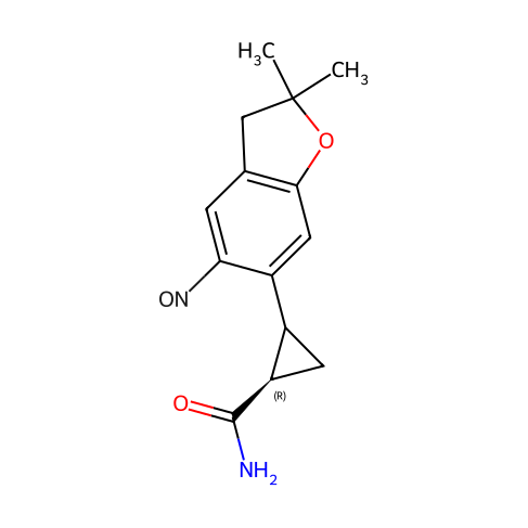 CC1(C)Cc2cc(N=O)c(C3C[C@H]3C(N)=O)cc2O1